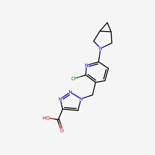 O=C(O)c1cn(Cc2ccc(N3CC4CC4C3)nc2Cl)nn1